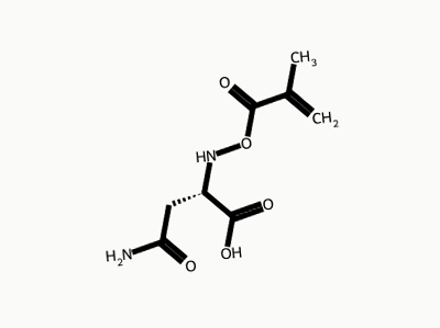 C=C(C)C(=O)ON[C@@H](CC(N)=O)C(=O)O